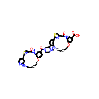 CN1CCN(C(=O)c2ccc3c(c2)NC(=O)c2csc(n2)-c2ccnc(c2)NCCCCCO3)CC1c1ccc2cc1NCCCCCOc1ccc(C(=O)O)cc1NC(=O)c1csc-2n1